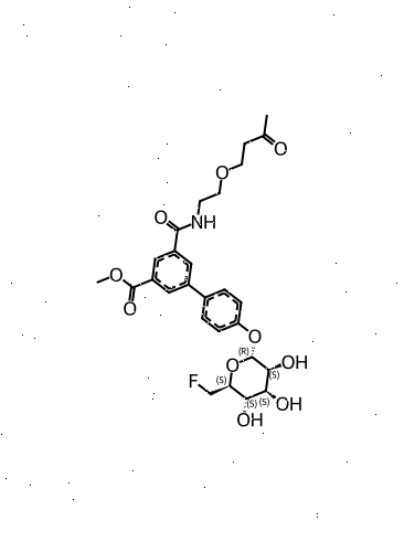 COC(=O)c1cc(C(=O)NCCOCCC(C)=O)cc(-c2ccc(O[C@H]3O[C@H](CF)[C@@H](O)[C@H](O)[C@@H]3O)cc2)c1